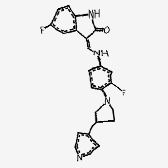 O=C1Nc2ccc(F)cc2C1=CNc1ccc(N2CCC(c3ccncc3)C2)c(F)c1